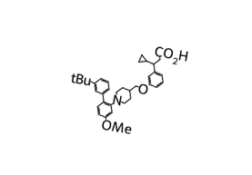 COc1ccc(-c2cccc(C(C)(C)C)c2)c(N2CCC(COc3cccc(C(CC(=O)O)C4CC4)c3)CC2)c1